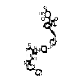 Cn1c(=O)n([C@@H]2CCC(=O)NC2=O)c2cccc(C#CCN3CCN(C[C@H]4CC[C@H](n5cc(NC(=O)c6cnn7ccc(N8CCOCC8)nc67)c(C(F)F)n5)CC4)CC3)c21